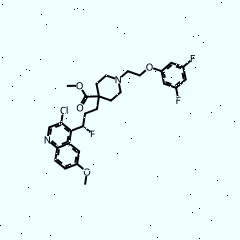 COC(=O)C1(CC[C@@H](F)c2c(Cl)cnc3ccc(OC)cc23)CCN(CCOc2cc(F)cc(F)c2)CC1